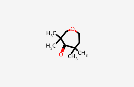 CC1(C)CCOCC(C)(C)C1=O